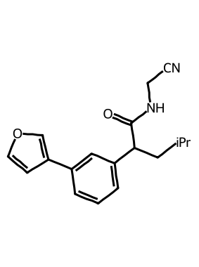 CC(C)CC(C(=O)NCC#N)c1cccc(-c2ccoc2)c1